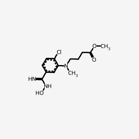 COC(=O)CCCN(C)c1cc(C(=N)NO)ccc1Cl